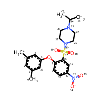 Cc1cc(C)cc(Oc2ccc([N+](=O)[O-])cc2S(=O)(=O)N2CCN(C(C)C)CC2)c1